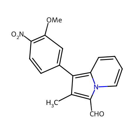 COc1cc(-c2c(C)c(C=O)n3ccccc23)ccc1[N+](=O)[O-]